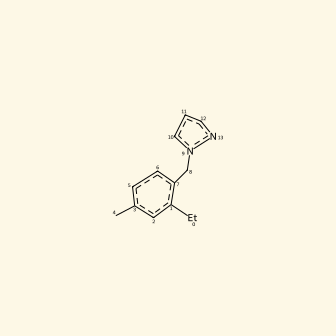 CCc1cc(C)ccc1Cn1cccn1